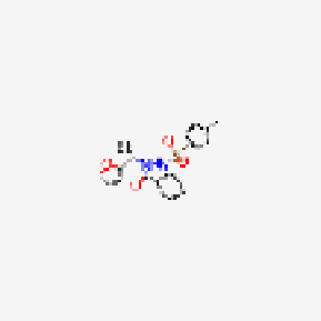 CCC(NC(=O)c1ccccc1NS(=O)(=O)c1ccc(C)cc1)c1ccco1